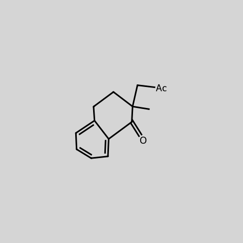 CC(=O)CC1(C)CCc2ccccc2C1=O